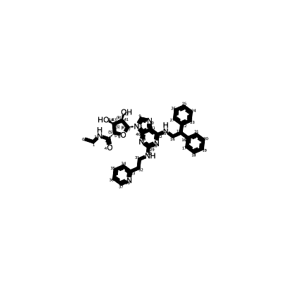 CCNC(=O)[C@H]1O[C@@H](n2cnc3c(NCC(c4ccccc4)c4ccccc4)nc(NCCc4ccccn4)nc32)[C@H](O)[C@@H]1O